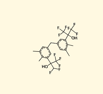 Cc1cc(Cc2cc(C)c(C)c(C(O)(C(F)(F)F)C(F)(F)F)c2)cc(C(O)(C(F)F)C(F)(F)F)c1C